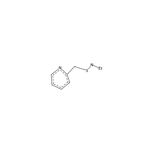 CC[N]SCc1ccccn1